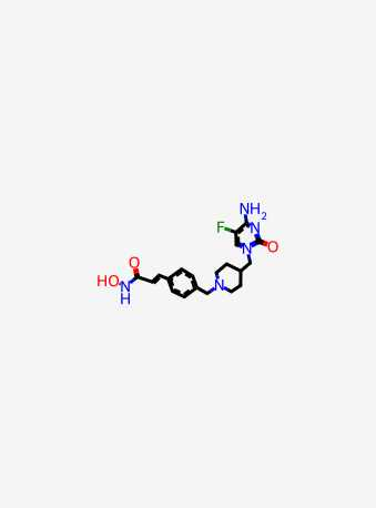 Nc1nc(=O)n(CC2CCN(Cc3ccc(/C=C/C(=O)NO)cc3)CC2)cc1F